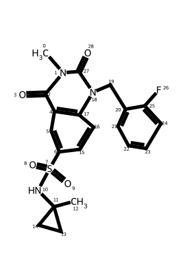 Cn1c(=O)c2cc(S(=O)(=O)NC3(C)CC3)ccc2n(Cc2ccccc2F)c1=O